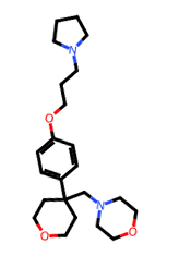 c1cc(C2(CN3CCOCC3)CCOCC2)ccc1OCCCN1CCCC1